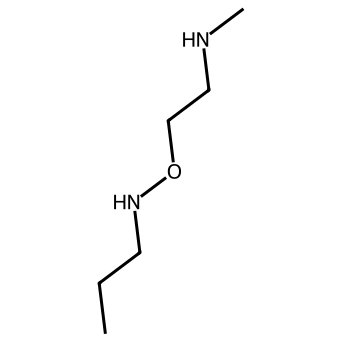 CCCNOCCNC